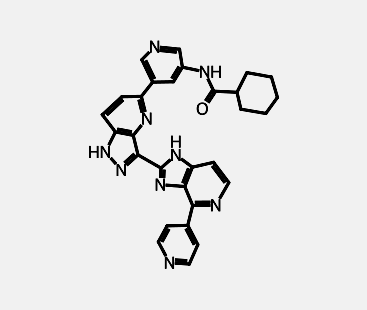 O=C(Nc1cncc(-c2ccc3[nH]nc(-c4nc5c(-c6ccncc6)nccc5[nH]4)c3n2)c1)C1CCCCC1